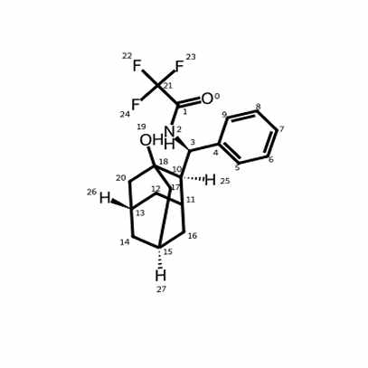 O=C(N[C@@H](c1ccccc1)[C@H]1C2C[C@@H]3C[C@H](C2)CC1(O)C3)C(F)(F)F